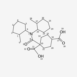 CC1CCCCC1N(C(=O)C1(C(=O)O)CCC(C(=O)O)CC1)C1CCCCC1C